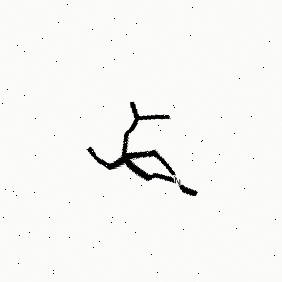 CCC1(CC(C)C)CN(C)C1